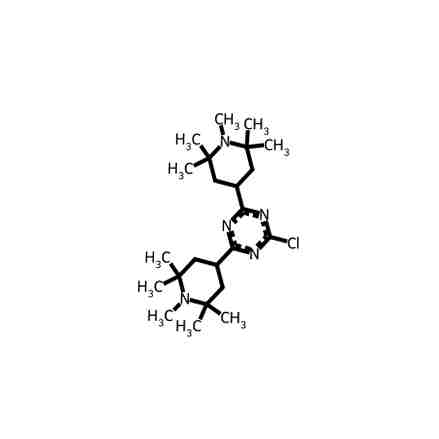 CN1C(C)(C)CC(c2nc(Cl)nc(C3CC(C)(C)N(C)C(C)(C)C3)n2)CC1(C)C